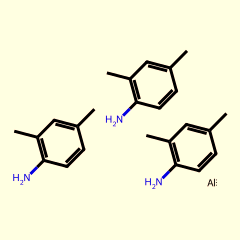 Cc1ccc(N)c(C)c1.Cc1ccc(N)c(C)c1.Cc1ccc(N)c(C)c1.[Al]